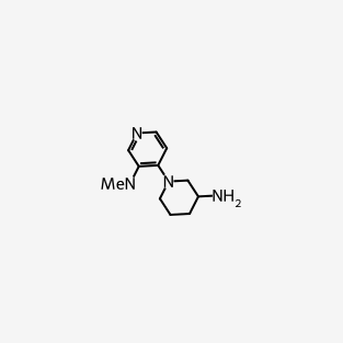 CNc1cnccc1N1CCCC(N)C1